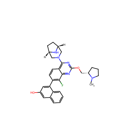 CN1CCC[C@H]1COc1nc(N2C[C@H]3CC[C@@H](C2)N3)c2ccc(-c3cc(O)cc4ccccc34)c(F)c2n1